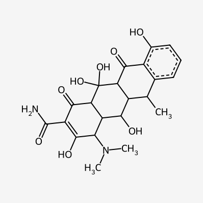 CC1c2cccc(O)c2C(=O)C2C1C(O)C1C(N(C)C)C(O)=C(C(N)=O)C(=O)C1C2(O)O